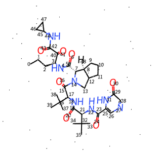 CCC[C@H](NC(=O)[C@@H]1[C@H]2CCCC2CN1C(=O)[C@@H](NC(=O)[C@@H](NC(=O)c1cncc(=O)[nH]1)C(C)(C)C)C(C)(C)C)C(=O)C(=O)NC1CC1